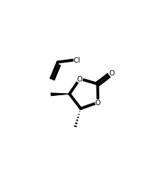 C=CCl.C[C@H]1OC(=O)O[C@@H]1C